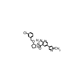 Cn1cc(-c2cnc(N)c(C(=O)N[C@@H]3CCC[C@H]3OCc3cccc(Cl)c3)c2)cn1